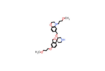 COCCCOc1ccc2c(c1)CO[C@@]21CCNC[C@@H]1OCc1ccc2c(c1)N(CCCOC)CCO2